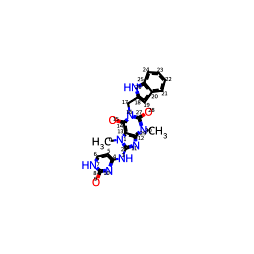 Cn1c(Nc2cc[nH]c(=O)n2)nc2c1c(=O)n(Cc1cc3ccccc3[nH]1)c(=O)n2C